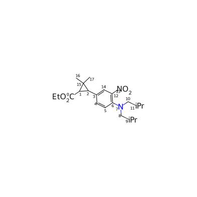 CCOC(=O)C1C(c2ccc(N(CC(C)C)CC(C)C)c([N+](=O)[O-])c2)C1(C)C